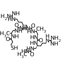 CNC(=O)NC[C@H](CCCNC(=N)N)NC(=O)NCC(C)NC(=O)NC[C@H](CCCNC(=N)N)NC(=O)NCC(C)NC(=O)CCS